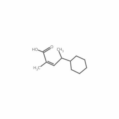 CC(=CC(C)C1CCCCC1)C(=O)O